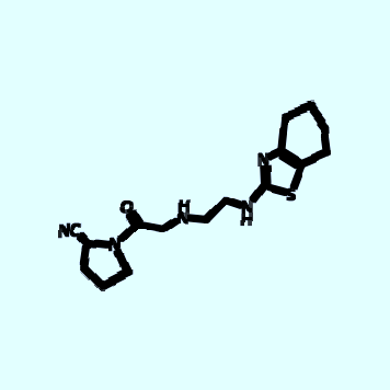 N#CC1CCCN1C(=O)CNCCNc1nc2c(s1)CCCC2